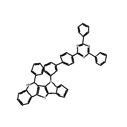 c1ccc(-c2nc(-c3ccccc3)nc(-c3ccc(-c4cccc(-n5c6ccccc6c6sc7c(c65)C(c5ccccc5)Nc5ccccc5-7)c4)cc3)n2)cc1